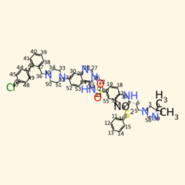 CC1(C)CN(CC[C@H](CSc2ccccc2)Nc2ccc(S(=O)(=O)Nc3ncnc4cc(N5CCN(Cc6ccccc6-c6ccc(Cl)cc6)CC5)ccc34)cc2[N+](=O)[O-])C=N1